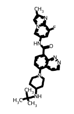 Cc1cn2cc(NC(=O)c3ccc(N4CCC(NC(C)(C)C)CC4)c4ccnnc34)cc(F)c2n1